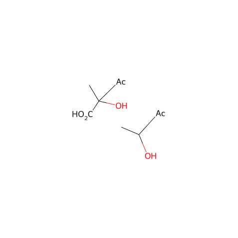 CC(=O)C(C)(O)C(=O)O.CC(=O)C(C)O